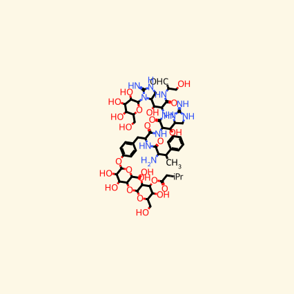 CC(C)CC(=O)OC1C(O)C(CO)OC(OC2C(CO)OC(Oc3ccc(CC(NC(=O)C(N)C(C)c4ccccc4)C(=O)NC(C(=O)NC(C(=O)NC([C]=O)CO)C(O)C4CNC(=N)N4C4OC(CO)C(O)C(O)C4O)C(O)C4CNC(=N)N4)cc3)C(O)C2O)C1O